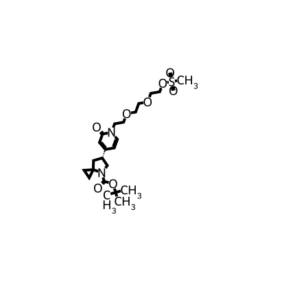 CC(C)(C)OC(=O)N1C[C@@H](c2ccn(CCOCCOCCOS(C)(=O)=O)c(=O)c2)CC12CC2